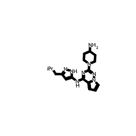 CC(C)Cc1cc(Nc2nc(N3CCC(N)CC3)nn3cccc23)[nH]n1